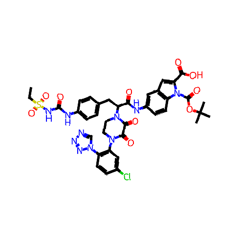 CCS(=O)(=O)NC(=O)Nc1ccc(CC(C(=O)Nc2ccc3c(c2)cc(C(=O)O)n3C(=O)OC(C)(C)C)N2CCN(c3cc(Cl)ccc3-n3cnnn3)C(=O)C2=O)cc1